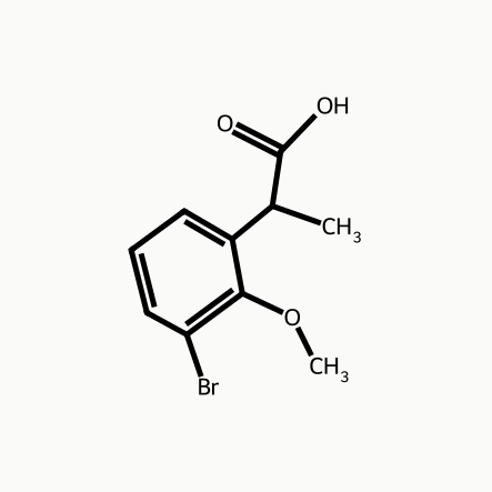 COc1c(Br)cccc1C(C)C(=O)O